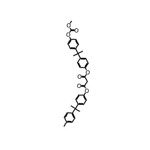 COC(=O)Oc1ccc(C(C)(C)c2ccc(OC(=O)CC(=O)Oc3ccc(C(C)(C)c4ccc(C)cc4)cc3)cc2)cc1